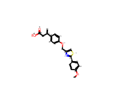 COc1ccc(-c2nc(COc3ccc(C(C)CC(=O)O)cc3)cs2)cc1